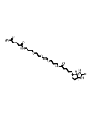 CC(C)C(=O)CCCC(=O)NCCCOCCOCCOCCCNC(=O)CCCC[C@@H]1SC[C@]2(C)NC(=O)N[C@H]12